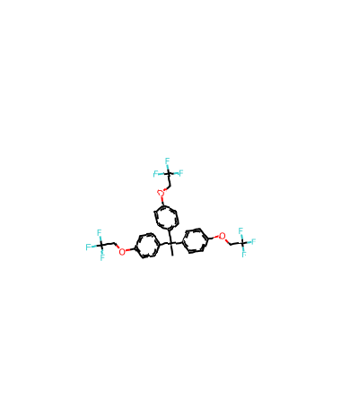 CC(c1ccc(OCC(F)(F)F)cc1)(c1ccc(OCC(F)(F)F)cc1)c1ccc(OCC(F)(F)F)cc1